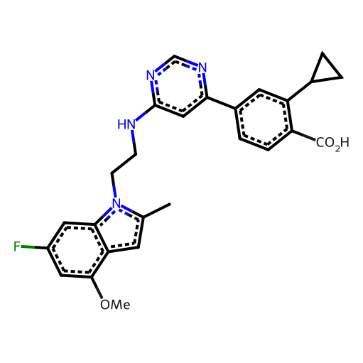 COc1cc(F)cc2c1cc(C)n2CCNc1cc(-c2ccc(C(=O)O)c(C3CC3)c2)ncn1